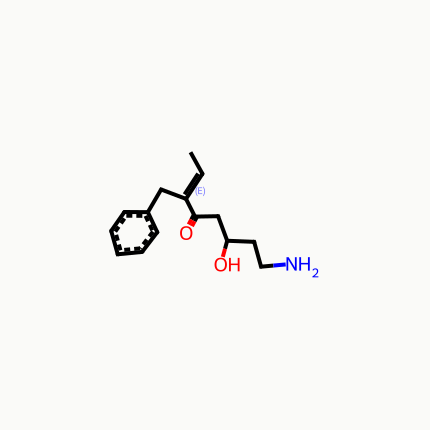 C/C=C(\Cc1ccccc1)C(=O)CC(O)CCN